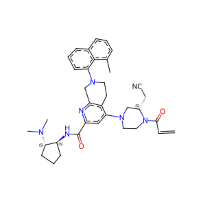 C=CC(=O)N1CCN(c2cc(C(=O)N[C@H]3CCC[C@@H]3N(C)C)nc3c2CCN(c2cccc4cccc(C)c24)C3)C[C@@H]1CC#N